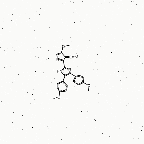 COC1=CN=C(c2nc(-c3ccc(OC)cc3)c(-c3ccc(OC)cc3)[nH]2)C1=C=O